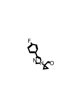 O=CC1(n2cnc(-c3ccc(F)cc3)c2)CC1